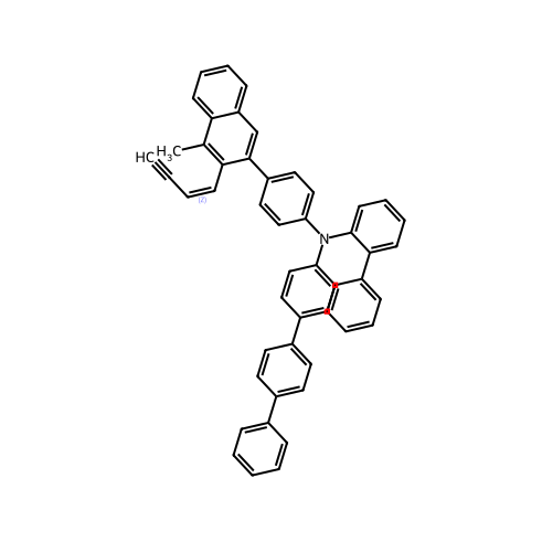 C#C/C=C\c1c(-c2ccc(N(c3ccc(-c4ccc(-c5ccccc5)cc4)cc3)c3ccccc3-c3ccccc3)cc2)cc2ccccc2c1C